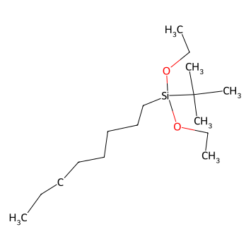 CCCCCCCC[Si](OCC)(OCC)C(C)(C)C